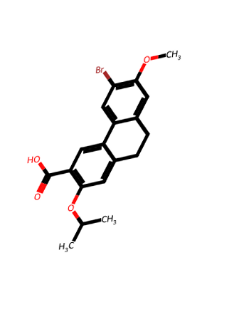 COc1cc2c(cc1Br)-c1cc(C(=O)O)c(OC(C)C)cc1CC2